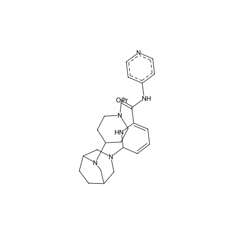 CC(C)N1CCC(N2CC3CCC2CN(C2C=CC=C(C(=O)Nc4ccncc4)N2)C3)CC1